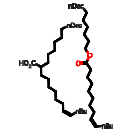 CCCC/C=C\CCCCCCC(CCCCCCCCCCCCCCCC)C(=O)O.CCCC/C=C\CCCCCCCC(=O)OCCCCCCCCCCCCCCCC